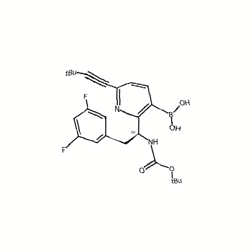 CC(C)(C)C#Cc1ccc(B(O)O)c([C@H](Cc2cc(F)cc(F)c2)NC(=O)OC(C)(C)C)n1